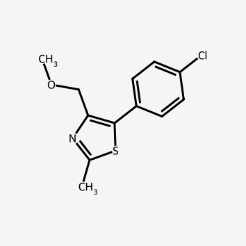 COCc1nc(C)sc1-c1ccc(Cl)cc1